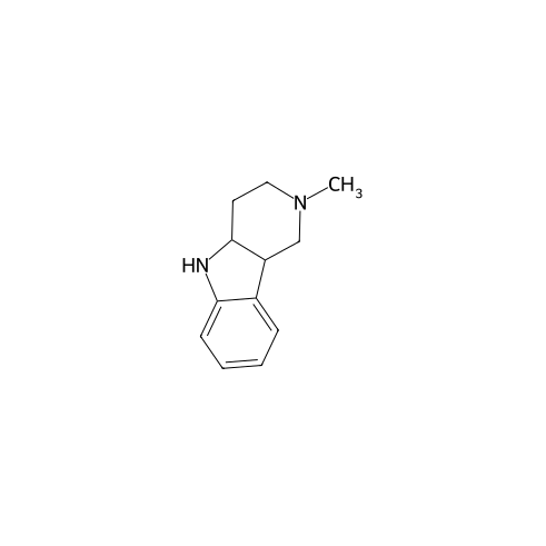 CN1CCC2Nc3ccccc3C2C1